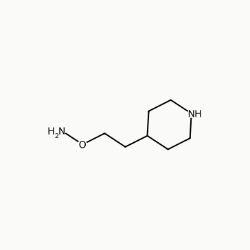 NOCCC1CCNCC1